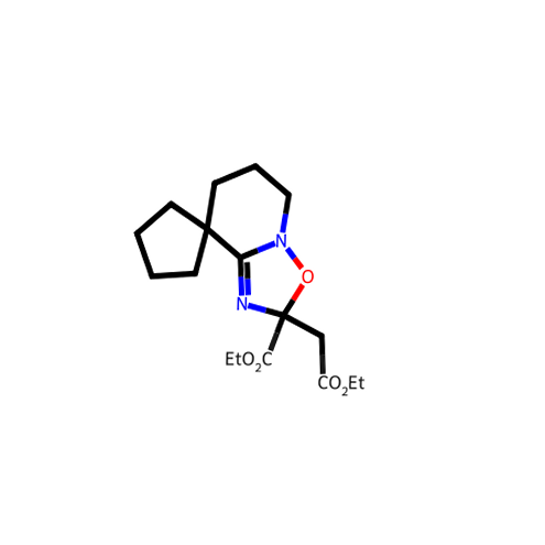 CCOC(=O)CC1(C(=O)OCC)N=C2N(CCCC23CCCC3)O1